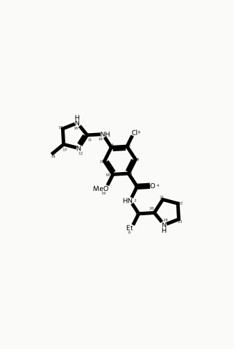 CCC(NC(=O)c1cc(Cl)c(NC2=NC(C)CN2)cc1OC)C1CCCN1